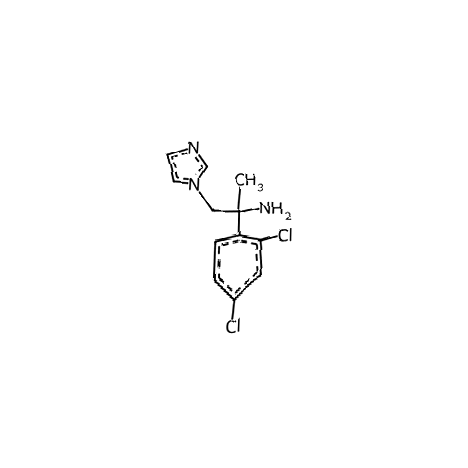 CC(N)(Cn1ccnc1)c1ccc(Cl)cc1Cl